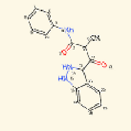 N#CC(C(=O)Nc1ccccc1)C(=O)C1NNc2ccccc21